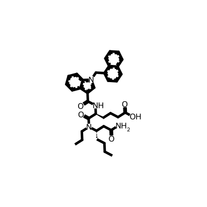 CCCC[C@@H](CC(N)=O)N(CCC)C(=O)[C@H](CCCC(=O)O)NC(=O)c1cn(Cc2cccc3ccccc23)c2ccccc12